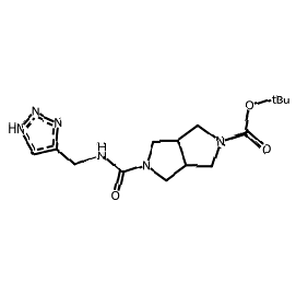 CC(C)(C)OC(=O)N1CC2CN(C(=O)NCc3c[nH]nn3)CC2C1